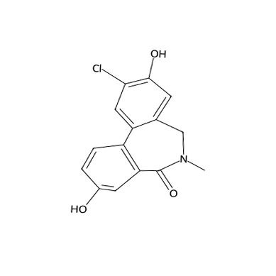 CN1Cc2cc(O)c(Cl)cc2-c2ccc(O)cc2C1=O